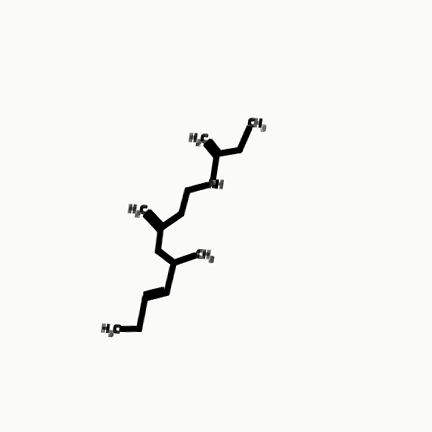 C=C(CCNC(=C)CC)CC(C)/C=C/CC